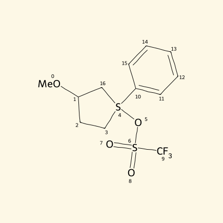 COC1CCS(OS(=O)(=O)C(F)(F)F)(c2ccccc2)C1